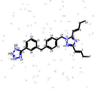 CC/C=C/c1nc(/C=C/CC)n(Cc2ccc(Cc3cccc(-c4nnn[nH]4)c3)cc2)n1